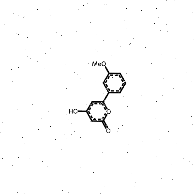 COc1cccc(-c2cc(O)cc(=O)o2)c1